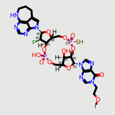 O=c1c2ncn([C@@H]3O[C@@H]4COP(=O)(O)O[C@H]5[C@@H](F)[C@H](n6cc7c8c(ncnc86)NCCC7)O[C@@H]5CO[P@](=O)(S)O[C@@H]3[C@@H]4O)c2ncn1CCOI